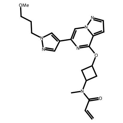 C=CC(=O)N(C)C1CC(Oc2nc(-c3cnn(CCCOC)c3)cn3nccc23)C1